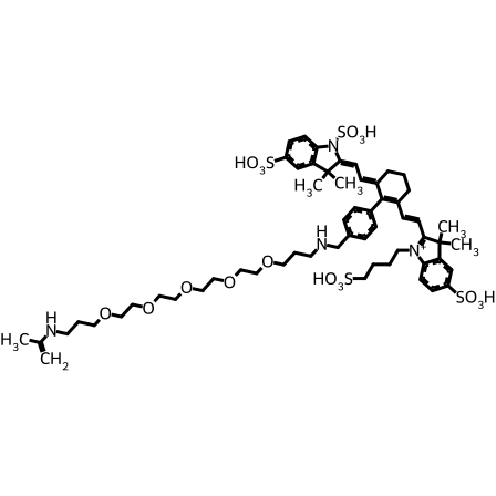 C=C(C)NCCCOCCOCCOCCOCCOCCCNCc1ccc(C2=C(/C=C/C3=[N+](CCCCS(=O)(=O)O)c4ccc(S(=O)(=O)O)cc4C3(C)C)CCC/C2=C\C=C2\N(S(=O)(=O)O)c3ccc(S(=O)(=O)O)cc3C2(C)C)cc1